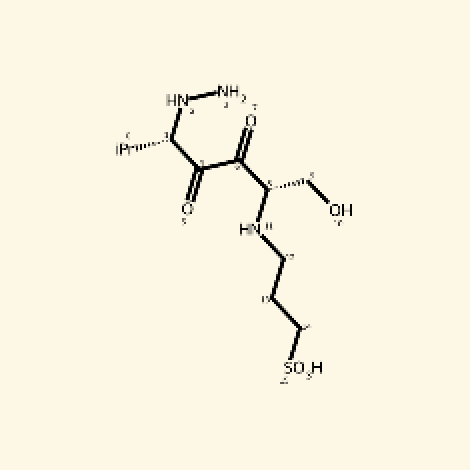 CC(C)[C@H](NN)C(=O)C(=O)[C@H](CO)NCCCS(=O)(=O)O